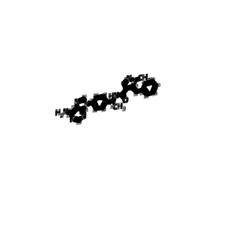 C[C@@H](NC(=O)c1cnn(C)c1Cc1ccccc1)c1ccc(-n2cnc3c(N)ncnc32)cc1